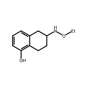 CCONC1CCc2c(O)cccc2C1